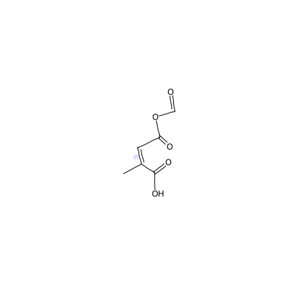 C/C(=C/C(=O)OC=O)C(=O)O